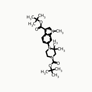 Cn1cc(C(=O)OC(C)(C)C)c2ccc(N3CCN(C(=O)OC(C)(C)C)CC3(C)C)cc21